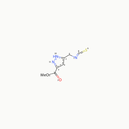 COC(=O)c1cc(CN=C=S)[nH]n1